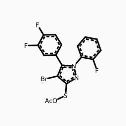 CC(=O)OSc1nn(-c2ccccc2F)c(-c2ccc(F)c(F)c2)c1Br